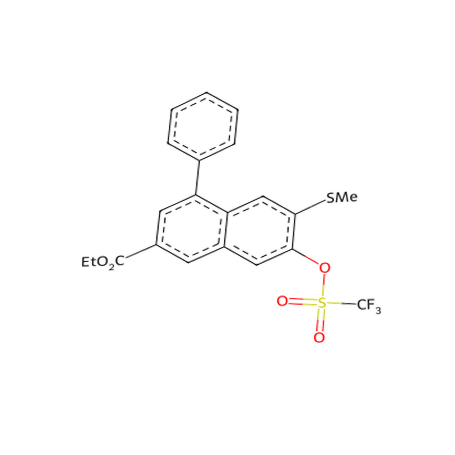 CCOC(=O)c1cc(-c2ccccc2)c2cc(SC)c(OS(=O)(=O)C(F)(F)F)cc2c1